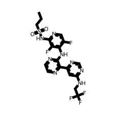 CCCS(=O)(=O)Nc1ncc(F)c(Nc2nccnc2-c2cc(NCC(F)(F)F)ncn2)c1F